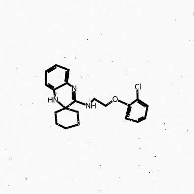 Clc1ccccc1OCCNC1=Nc2ccccc2NC12CCCCC2